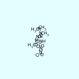 COc1cnc(-c2cnc(N(C)CCN(C)C)cn2)c2[nH]cc(C(=O)C(=O)N3CCN(C(=O)c4ccccc4)CC3)c12